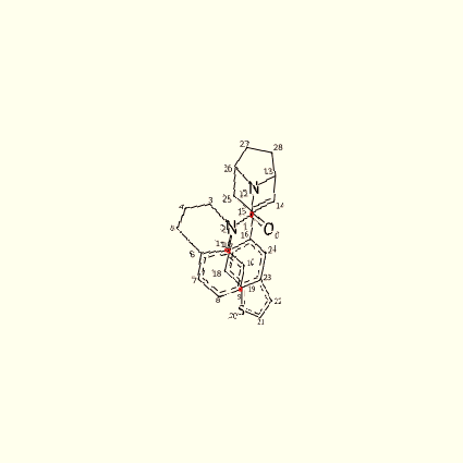 O=C(N1CCCc2ccccc21)N1C2C=C(c3ccc4sccc4c3)CC1CC2